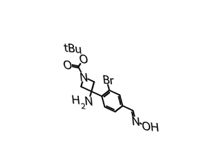 CC(C)(C)OC(=O)N1CC(N)(c2ccc(/C=N/O)cc2Br)C1